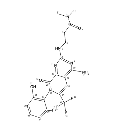 CN(C)C(=O)CCNc1nc(N)c2cc(C(F)(F)F)n(-c3c(O)cccc3F)c(=O)c2n1